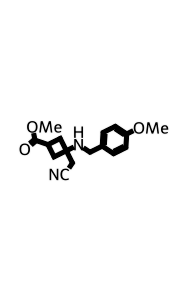 COC(=O)C1CC(CC#N)(NCc2ccc(OC)cc2)C1